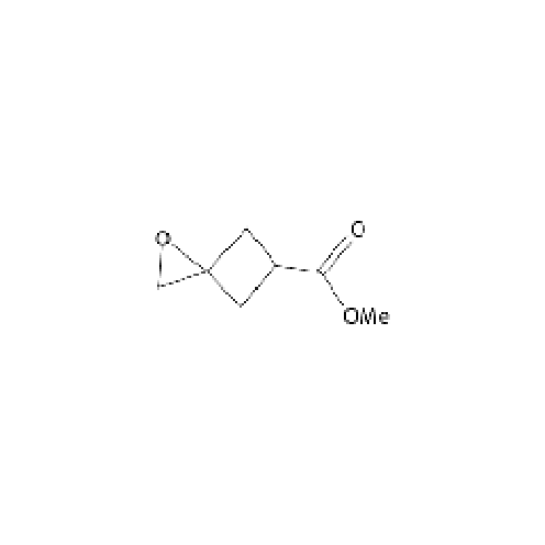 COC(=O)C1CC2(CO2)C1